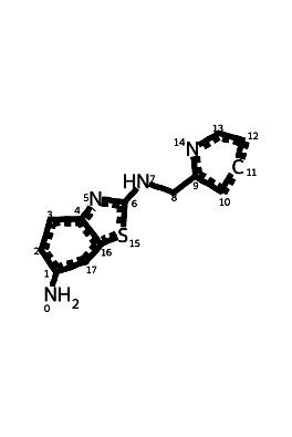 Nc1ccc2nc(NCc3ccccn3)sc2c1